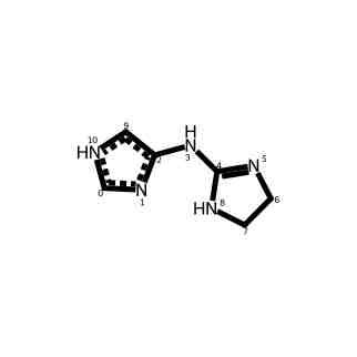 c1nc(NC2=NCCN2)c[nH]1